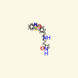 O=C1NCCC1CCCNCCc1ccc(Oc2nc3ccccc3s2)cc1